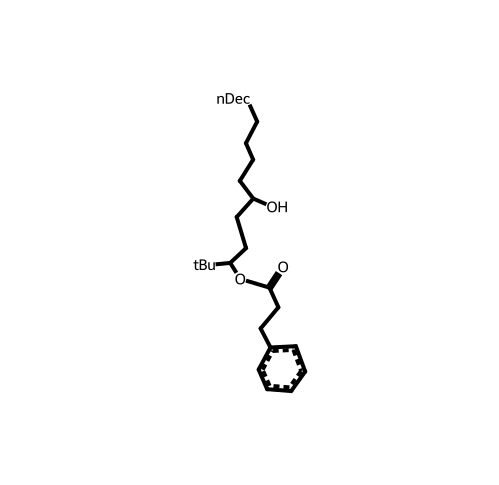 CCCCCCCCCCCCCCC(O)CCC(OC(=O)CCc1ccccc1)C(C)(C)C